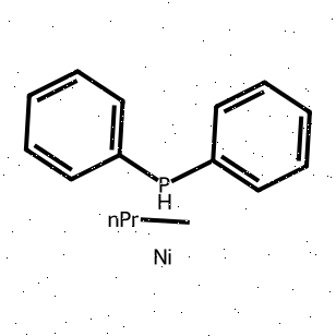 CCCC.[Ni].c1ccc(Pc2ccccc2)cc1